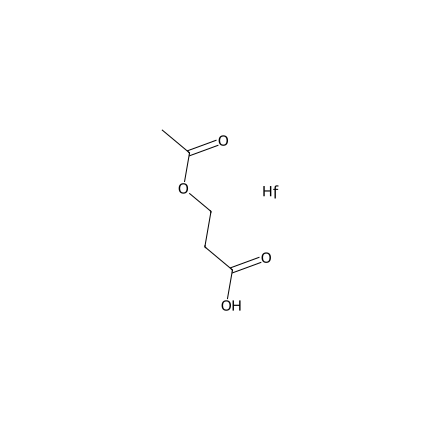 CC(=O)OCCC(=O)O.[Hf]